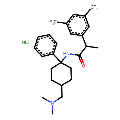 CC(C(=O)NC1(c2ccccc2)CCC(CN(C)C)CC1)c1cc(C(F)(F)F)cc(C(F)(F)F)c1.Cl